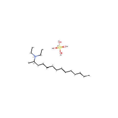 CCCCCCCCCCCCC(C)N(CC)CC.O=S(=O)(O)O